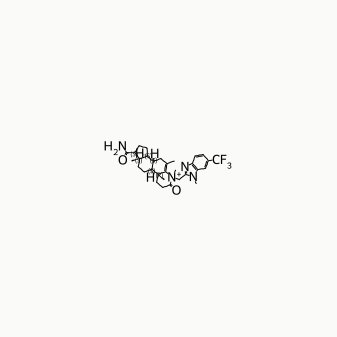 CC1=C2[C@](C)(CCC(=O)[N+]2(C)Cc2nc3ccc(C(F)(F)F)cc3n2C)[C@H]2CC[C@]3(C)[C@@H](C(N)=O)CC[C@H]3[C@@H]2C1